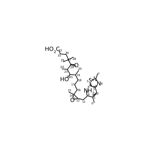 CC(=Cc1csc(C)n1)C(N)CC1OC1(C)CCCC(C)C(O)C(C)C(=O)C(C)(C)CCC(=O)O